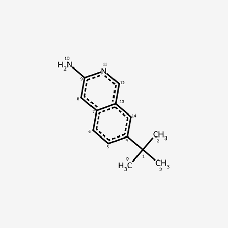 CC(C)(C)c1ccc2cc(N)ncc2c1